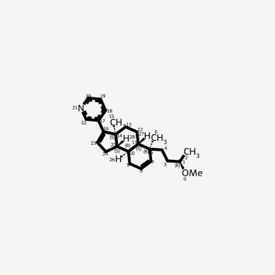 CO[C@H](C)CC[C@@]1(C)C=CC[C@@H]2[C@@H]1CC[C@]1(C)C(c3cccnc3)=CC[C@@H]21